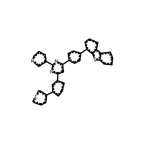 c1ccc(-c2cccc(-c3cc(-c4ccc(-c5cccc6c5sc5ccccc56)cc4)nc(-c4cccnc4)n3)c2)cc1